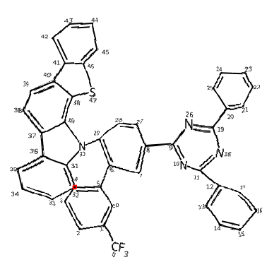 FC(F)(F)c1cccc(-c2cc(-c3nc(-c4ccccc4)nc(-c4ccccc4)n3)ccc2-n2c3ccccc3c3ccc4c5ccccc5sc4c32)c1